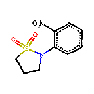 O=[N+]([O-])c1ccccc1N1CCCS1(=O)=O